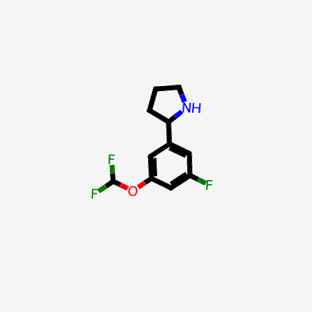 Fc1cc(OC(F)F)cc(C2CCCN2)c1